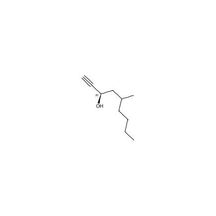 C#C[C@H](O)CC(C)CCCC